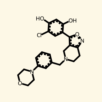 Oc1cc(O)c(-c2onc3c2CN(Cc2cccc(N4CCOCC4)c2)CC3)cc1Cl